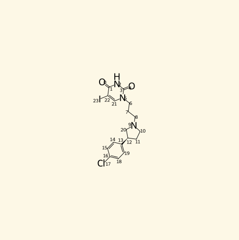 O=c1[nH]c(=O)n(CCCN2CC[C@@H](c3ccc(Cl)cc3)C2)cc1I